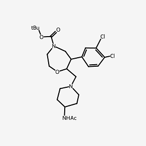 CC(=O)NC1CCN(CC2OCCN(C(=O)OC(C)(C)C)CC2c2ccc(Cl)c(Cl)c2)CC1